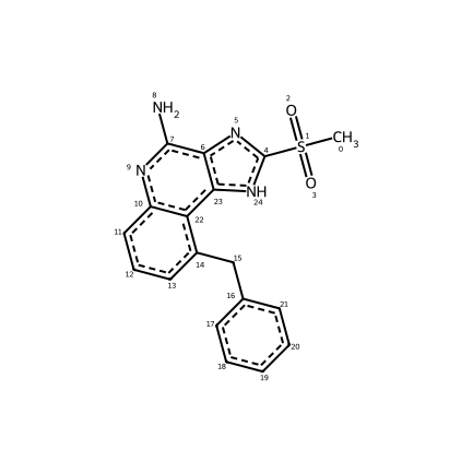 CS(=O)(=O)c1nc2c(N)nc3cccc(Cc4ccccc4)c3c2[nH]1